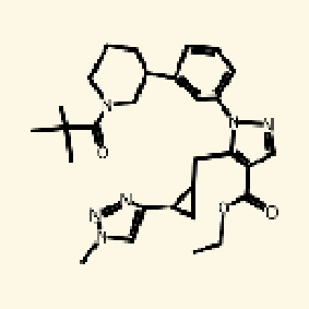 CCOC(=O)c1cnn(-c2cccc(C3CCCN(C(=O)C(C)(C)C)C3)c2)c1CC1C[C@H]1c1cn(C)nn1